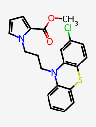 COC(=O)c1cccn1CCCN1c2ccccc2Sc2ccc(Cl)cc21